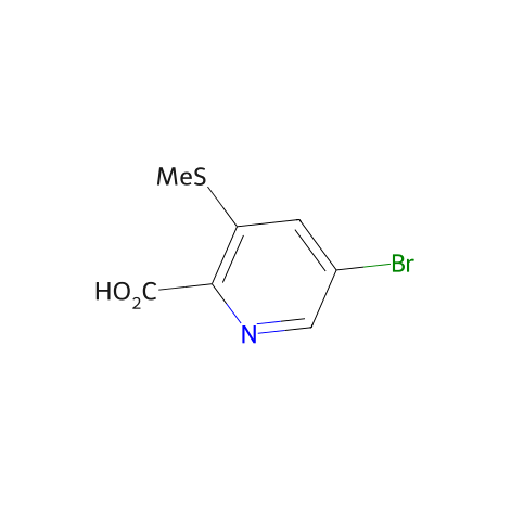 CSc1cc(Br)cnc1C(=O)O